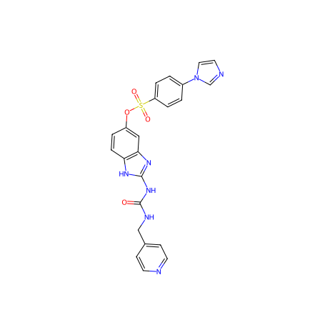 O=C(NCc1ccncc1)Nc1nc2cc(OS(=O)(=O)c3ccc(-n4ccnc4)cc3)ccc2[nH]1